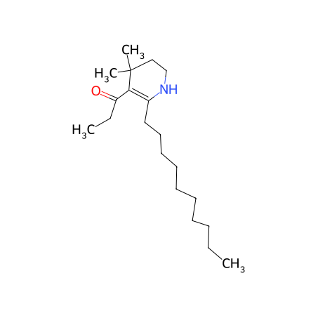 CCCCCCCCCCC1=C(C(=O)CC)C(C)(C)CCN1